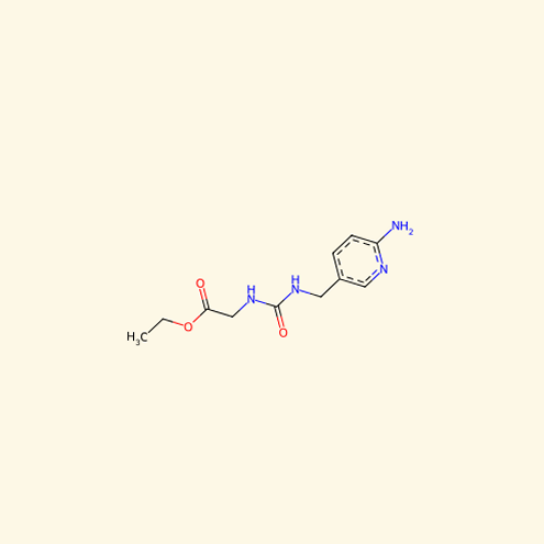 CCOC(=O)CNC(=O)NCc1ccc(N)nc1